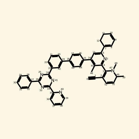 C#CC1=C(c2nc(C3=CC=CCC3)cc(-c3ccc(-c4cccc(-c5nc(-c6ccccc6)nc(-c6ccccn6)n5)c4)cc3)c2C)N(C)C(C)C=C1